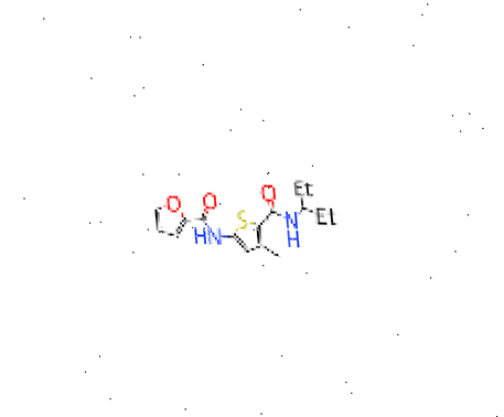 CCC(CC)NC(=O)c1sc(NC(=O)c2ccco2)cc1C